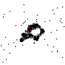 C=C1C(C)CC2CC[C@@H]3OC(CC[C@@]45CC6OC7C(O4)[C@H]4OC(CCC4O[C@H]7C6O5)CC(O)CC4C(CC1O2)O[C@H](CC(CO[Si](C)(C)C(C)(C)C)O[Si](C)(C)C(C)(C)C)[C@@H]4OC)CC3(C)C